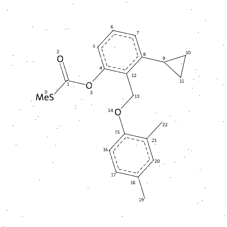 CSC(=O)Oc1cccc(C2CC2)c1COc1ccc(C)cc1C